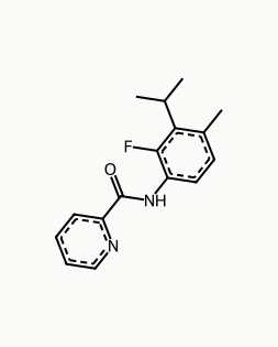 Cc1ccc(NC(=O)c2ccccn2)c(F)c1C(C)C